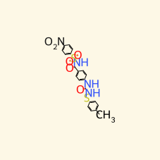 Cc1ccc(SNC(=O)Nc2ccc(C(=O)NS(=O)(=O)c3ccc([N+](=O)[O-])cc3)cc2)cc1